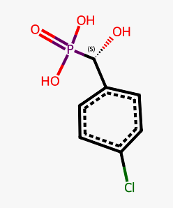 O=P(O)(O)[C@H](O)c1ccc(Cl)cc1